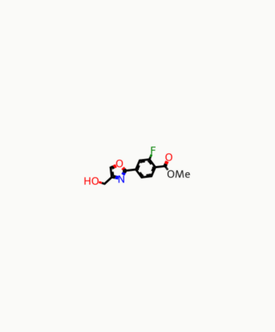 COC(=O)c1ccc(-c2nc(CO)co2)cc1F